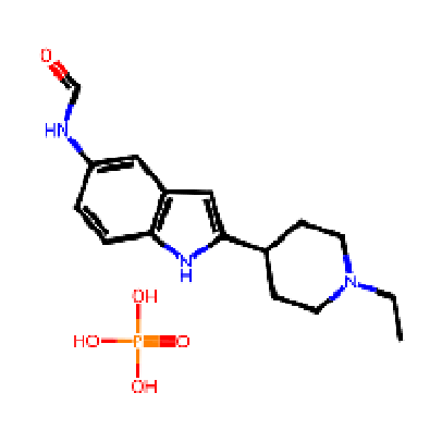 CCN1CCC(c2cc3cc(NC=O)ccc3[nH]2)CC1.O=P(O)(O)O